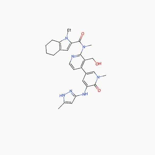 CCn1c(C(=O)N(C)c2nccc(-c3cc(Nc4cc(C)[nH]n4)c(=O)n(C)c3)c2CO)cc2c1CCCC2